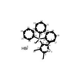 Br.Cc1oc(C)c(P(C)(c2ccccc2)(c2ccccc2)c2ccccc2)c1C